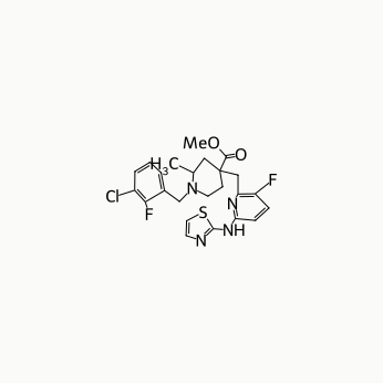 COC(=O)C1(Cc2nc(Nc3nccs3)ccc2F)CCN(Cc2cccc(Cl)c2F)C(C)C1